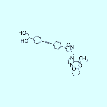 C[C@H](OC1CCCCO1)c1nccn1Cc1cc(-c2ccc(C#Cc3ccc(C(O)CO)cc3)cc2)on1